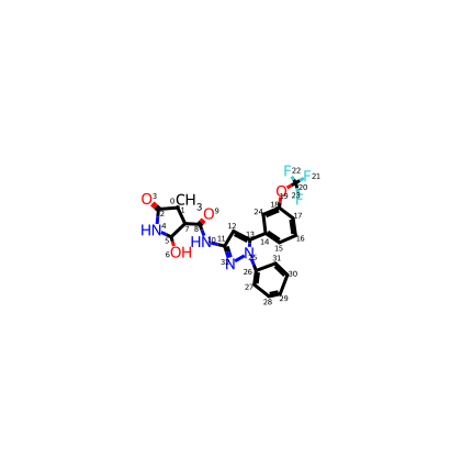 CC1C(=O)NC(O)C1C(=O)Nc1cc(-c2cccc(OC(F)(F)F)c2)n(-c2ccccc2)n1